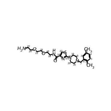 Cc1ccc(C)c(CN2CCN(c3nc(C(=O)NCCOCCOCCN)cs3)CC2)c1